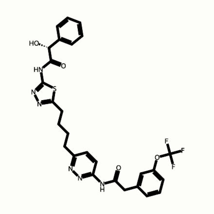 O=C(Cc1cccc(OC(F)(F)F)c1)Nc1ccc(CCCCc2nnc(NC(=O)[C@H](O)c3ccccc3)s2)nn1